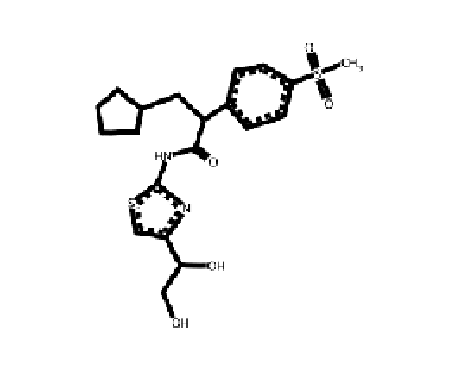 CS(=O)(=O)c1ccc(C(CC2CCCC2)C(=O)Nc2nc(C(O)CO)cs2)cc1